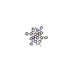 Cc1cc2c3c(c1)N(c1ccccc1)c1ccccc1B3c1cc3c(-c4c(-c5ccccc5)cc(-c5ccccc5)cc4-c4ccccc4)cc4c5c(cc6c(-c7c(-c8ccccc8)cc(-c8ccccc8)cc7-c7ccccc7)cc-2c1c6c35)B1c2ccccc2N(c2ccccc2)c2cc(C)cc-4c21